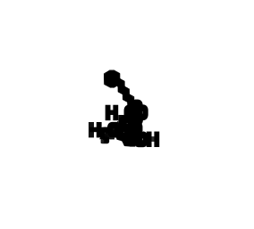 CCCC12c3c4ccc(O)c3OC1C(OP(C)(=O)OCCCCCCc1ccccc1)C=CC2C(C)C4